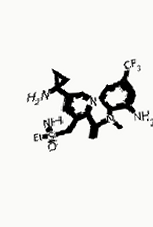 C=C(c1ncc(C2(N)CC2)cc1CS(=N)(=O)CC)N(C)c1ccc(C(F)(F)F)cc1N